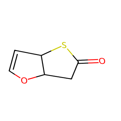 O=C1CC2OC=CC2S1